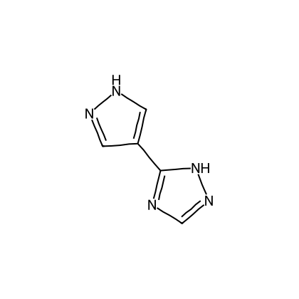 c1n[nH]c(-c2cn[nH]c2)n1